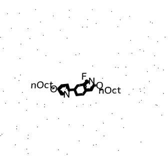 CCCCCCCCOc1ccc(C2CCc3cc(OCCCCCCCC)nc(F)c3C2)nc1